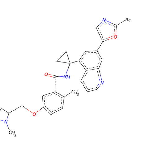 CC(=O)c1ncc(-c2cc(C3(NC(=O)c4cc(OCC5CCN5C)ccc4C)CC3)c3cccnc3c2)o1